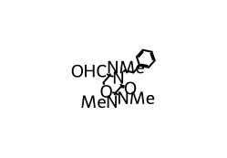 CNC1(NC)OCC(C=O)(NC)N(CCc2ccccc2)C1=O